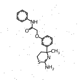 CC1(c2cccc(OCC(=O)Nc3ccccc3)c2)CCSC(N)=N1